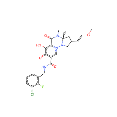 CO/C=C/C1C[C@H]2N(C)C(=O)c3c(O)c(=O)c(C(=O)NCc4cccc(Cl)c4F)cn3N2C1